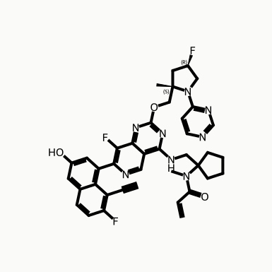 C#Cc1c(F)ccc2cc(O)cc(-c3ncc4c(NCC5(N(C)C(=O)C=C)CCCC5)nc(OC[C@]5(C)C[C@@H](F)CN5c5ccncn5)nc4c3F)c12